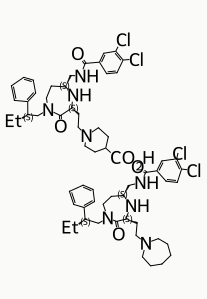 CC[C@H](CN1CC[C@@H](CNC(=O)c2ccc(Cl)c(Cl)c2)N[C@@H](CCN2CCC(C(=O)O)CC2)C1=O)c1ccccc1.CC[C@H](CN1CC[C@@H](CNC(=O)c2ccc(Cl)c(Cl)c2)N[C@@H](CCN2CCCCCC2)C1=O)c1ccccc1